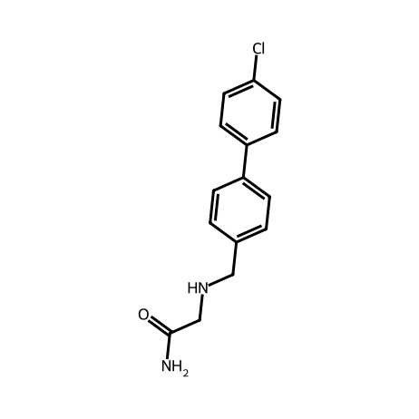 NC(=O)CNCc1ccc(-c2ccc(Cl)cc2)cc1